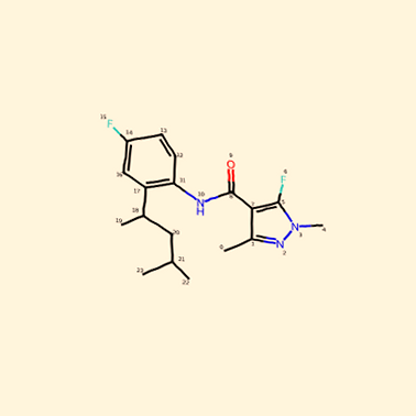 Cc1nn(C)c(F)c1C(=O)Nc1ccc(F)cc1C(C)CC(C)C